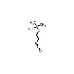 C[Si](C)(C)OCCN=C=O